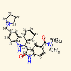 CCCCN(C)C(=O)c1ccc2c(c1)/C(=C(/Nc1ccc(CN3CCCC3)cc1)c1ccccc1)C(=O)N2